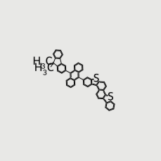 CC1(C)c2ccccc2-c2cc(-c3c4ccccc4c(-c4ccc5c(c4)sc4ccc6c(ccc7c8ccccc8sc76)c45)c4ccccc34)ccc21